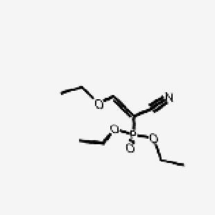 CCOC=C(C#N)P(=O)(OCC)OCC